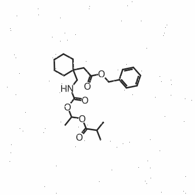 CC(OC(=O)NCC1(CC(=O)OCc2ccccc2)CCCCC1)OC(=O)C(C)C